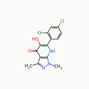 Cc1nn(C)c2[nH]c(-c3ccc(Cl)cc3Cl)c(O)c(=O)c12